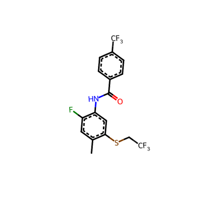 Cc1cc(F)c(NC(=O)c2ccc(C(F)(F)F)cc2)cc1SCC(F)(F)F